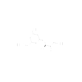 CCC1CC(C)CC(OC(=O)C(C)CC)C1